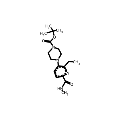 CCc1nc(C(=O)NC)ccc1N1CCN(C(=O)OC(C)(C)C)CC1